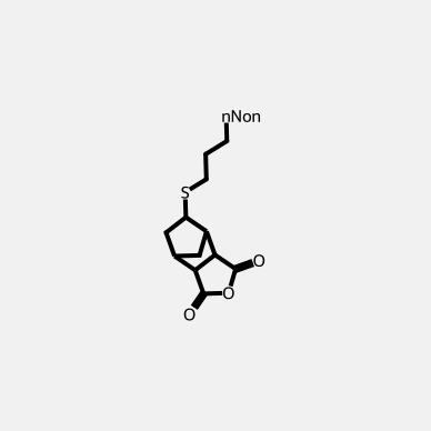 CCCCCCCCCCCCSC1CC2CC1C1C(=O)OC(=O)C21